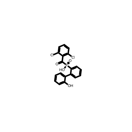 O=C(c1c(Cl)cccc1Cl)P(=O)(O)c1ccccc1-c1ccccc1O